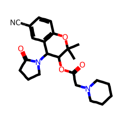 CC1(C)Oc2ccc(C#N)cc2C(N2CCCC2=O)C1OC(=O)CN1CCCCC1